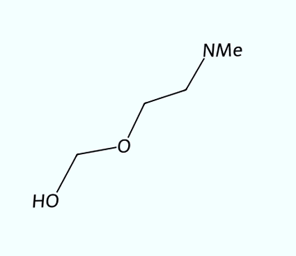 CNCCOCO